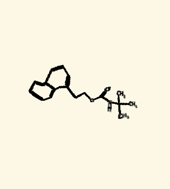 CC(C)(C)NC(=O)OCCc1cccc2ccccc12